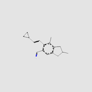 Cc1c(/C=C/C2CC2)c(C=N)cc2c1CC(C)C2